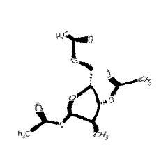 CC(=O)OC[C@H]1OC(OC(C)=O)C(C)[C@H]1OC(C)=O